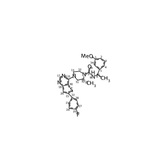 COc1cccc([C@@H](C)NC(=O)N2CCN(c3ncnc4cc(-c5ccc(F)cc5)sc34)C[C@H]2C)c1